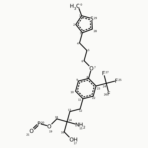 Cc1cc(CCCOc2ccc(CCC(N)(CO)COP=O)cc2C(F)(F)F)cs1